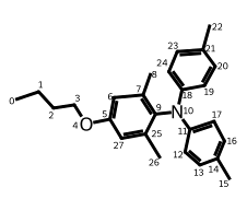 CCCCOc1cc(C)c(N(c2ccc(C)cc2)c2ccc(C)cc2)c(C)c1